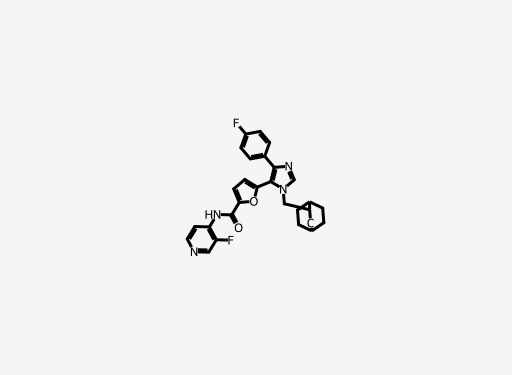 O=C(Nc1ccncc1F)c1ccc(-c2c(-c3ccc(F)cc3)ncn2CC2CC3CCC2CC3)o1